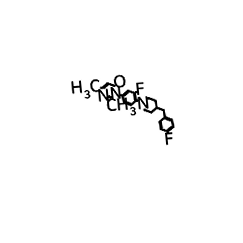 Cc1cc(=O)n(-c2ccc(N3CCC(Cc4ccc(F)cc4)CC3)c(F)c2)c(C)n1